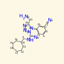 N#Cc1ccc(N=C(NCC2CCCCCC2)n2nnc(CN)n2)cc1